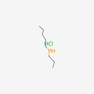 CCCCCPCCC.Cl